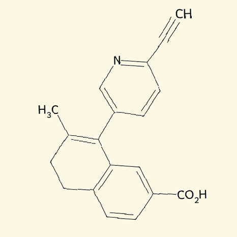 C#Cc1ccc(C2=C(C)CCc3ccc(C(=O)O)cc32)cn1